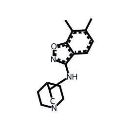 Cc1ccc2c(NC3CN4CCC3CC4)noc2c1C